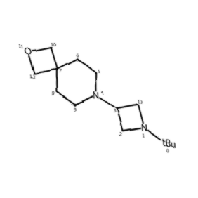 CC(C)(C)N1CC(N2CCC3(CC2)COC3)C1